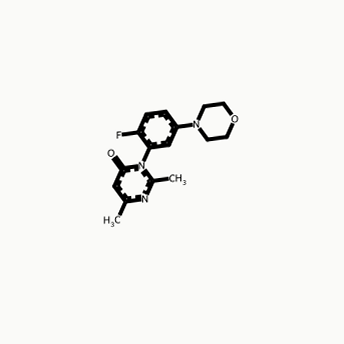 Cc1cc(=O)n(-c2cc(N3CCOCC3)ccc2F)c(C)n1